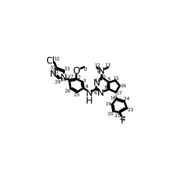 COc1cc(Nc2nc3c(c(N(C)C)n2)CC[C@@H]3c2ccc(F)cc2)ccc1-n1cnc(Cl)c1